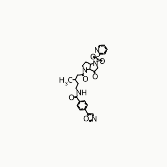 CC(CCNC(=O)c1ccc(-c2cnco2)cc1)CC(=O)N1CCC2C1C(=O)CN2S(=O)(=O)c1ccccn1